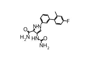 Cc1cc(F)ccc1-c1cccc(-n2cc(NC(N)=O)c(C(N)=O)n2)c1